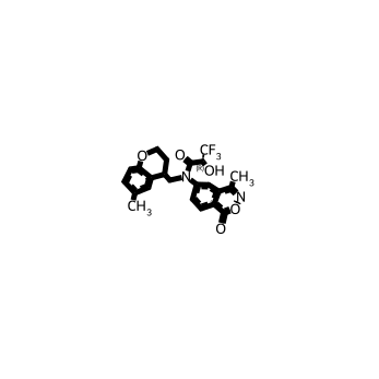 Cc1ccc2c(c1)C(CN(C(=O)[C@@H](O)C(F)(F)F)c1ccc3c(=O)onc(C)c3c1)CCO2